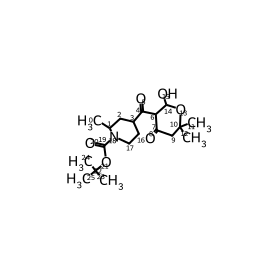 CC1CC(C(=O)C2C(=O)CC(C)(C)OC2O)CCN1C(=O)OC(C)(C)C